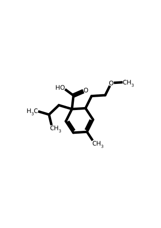 COCCC1C=C(C)C=CC1(CC(C)C)C(=O)O